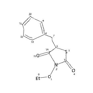 CCON1C(=O)SC(Cc2ccccc2)C1=O